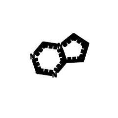 [c]1ncn2cccc2n1